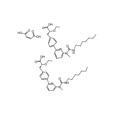 CCCCCCCNC(=O)N(C)c1cccc(-c2ccc(C[C@H](OCC)C(=O)O)cc2)n1.CCCCCCCNC(=O)N(C)c1cccc(-c2ccc(C[C@H](OCC)C(=O)O)cc2)n1.O=C(O)/C=C\C(=O)O